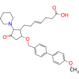 COc1ccc(-c2ccc(COC3CC(=O)C(N4CCCCC4)C3CCC=CCCC(=O)O)cc2)cc1